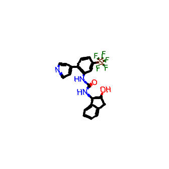 O=C(Nc1cc(S(F)(F)(F)(F)F)ccc1-c1ccncc1)NC1c2ccccc2CC1O